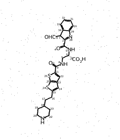 O=CC1C(C(=O)N[C@@H](CNC(=O)c2cc3cc(CCC4CCNCC4)sc3s2)C(=O)O)=Nc2ccccc21